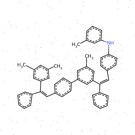 Cc1cccc(Nc2ccc(C=C(c3ccccc3)c3cc(C)cc(-c4ccc(C=C(c5ccccc5)c5cc(C)cc(C)c5)cc4)c3)cc2)c1